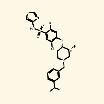 O=S(=O)(Nc1cscn1)c1cc(Cl)c(O[C@H]2CCN(Cc3cccc(C(F)F)c3)C[C@H]2F)cc1F